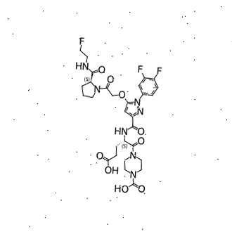 O=C(O)CC[C@H](NC(=O)c1cc(OCC(=O)N2CCC[C@H]2C(=O)NCCF)n(-c2ccc(F)c(F)c2)n1)C(=O)N1CCN(C(=O)O)CC1